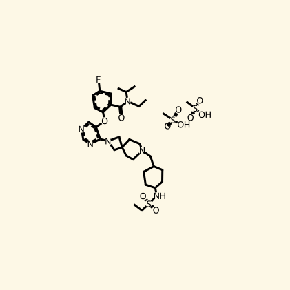 CCN(C(=O)c1cc(F)ccc1Oc1cncnc1N1CC2(CCN(CC3CCC(NS(=O)(=O)CC)CC3)CC2)C1)C(C)C.CS(=O)(=O)O.CS(=O)(=O)O